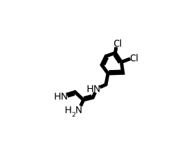 N=C/C(N)=C\NCc1ccc(Cl)c(Cl)c1